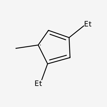 CCC1=C[C](C)C(CC)=C1